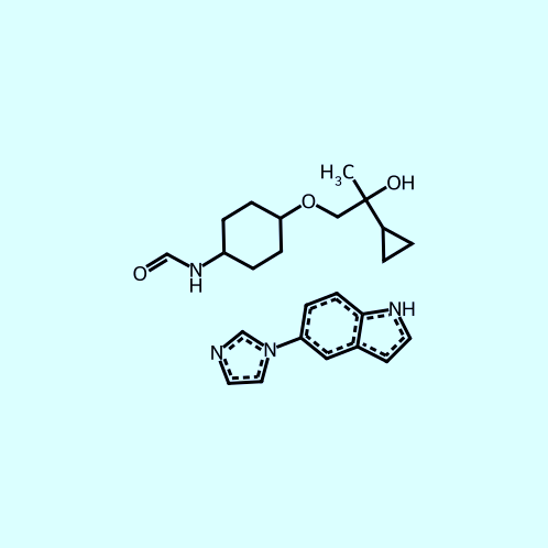 CC(O)(COC1CCC(NC=O)CC1)C1CC1.c1cn(-c2ccc3[nH]ccc3c2)cn1